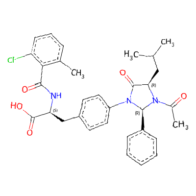 CC(=O)N1[C@H](CC(C)C)C(=O)N(c2ccc(C[C@H](NC(=O)c3c(C)cccc3Cl)C(=O)O)cc2)[C@@H]1c1ccccc1